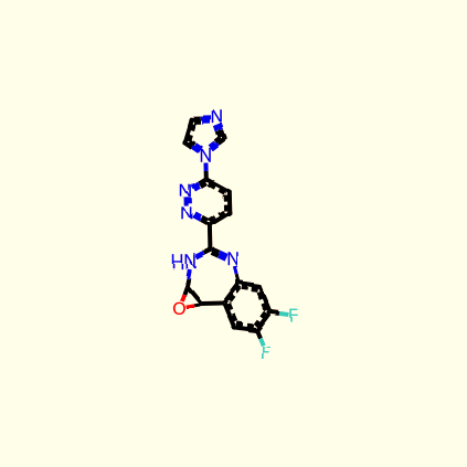 Fc1cc2c(cc1F)C1OC1NC(c1ccc(-n3ccnc3)nn1)=N2